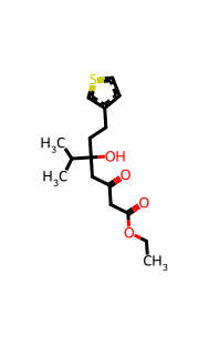 CCOC(=O)CC(=O)CC(O)(CCc1ccsc1)C(C)C